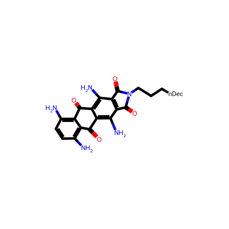 CCCCCCCCCCCCCn1c(=O)c2c(N)c3c(=O)c4c(N)ccc(N)c4c(=O)c3c(N)c2c1=O